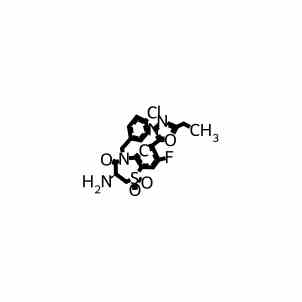 CCc1nnc(-c2cc3c(cc2F)S(=O)(=O)C[C@H](N)C(=O)N3Cc2ccc(Cl)cc2)o1